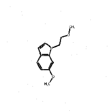 COCCn1ccc2ccc(OC)cc21